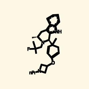 CCCN1CC(OC2=CCC(C)([C@@H]3c4[nH]c5ccccc5c4C[C@@H](C)N3CC(C)(C)F)C=C2)C1